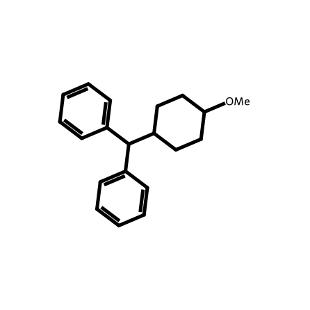 COC1CCC(C(c2ccccc2)c2ccccc2)CC1